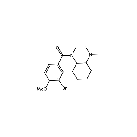 COc1ccc(C(=O)N(C)C2CCCCC2N(C)C)cc1Br